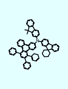 CC1(C)c2ccccc2-c2ccc(N(c3ccc4c(c3)C3(CCCCC3)c3ccccc3-4)c3ccc4c(c3)c3ccccc3c3c(-c5ccccc5)cc(-c5ccccc5)c(C5=CC=CCC5)c43)cc21